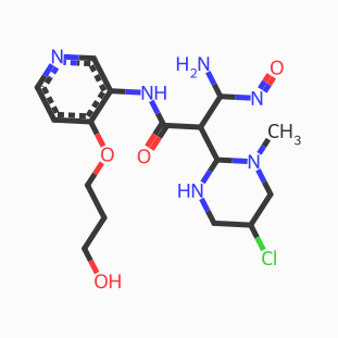 CN1CC(Cl)CNC1C(C(=O)Nc1cnccc1OCCCO)C(N)N=O